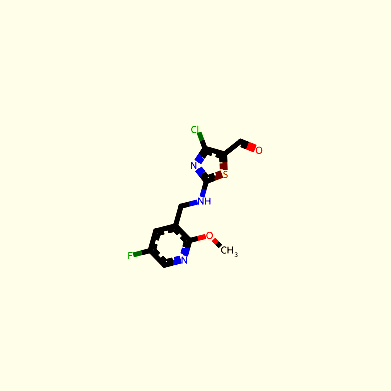 COc1ncc(F)cc1CNc1nc(Cl)c(C=O)s1